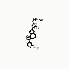 CC(=O)NCC1CN(c2ccc3c(c2)CCCc2c(-c4ccnc(C(F)(F)F)c4)noc2-3)C(=O)O1